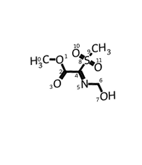 COC(=O)C(=NCO)S(C)(=O)=O